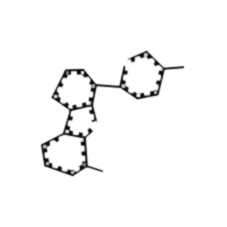 Cc1ccc(-c2cccc3c2oc2c(C)cccc23)nc1